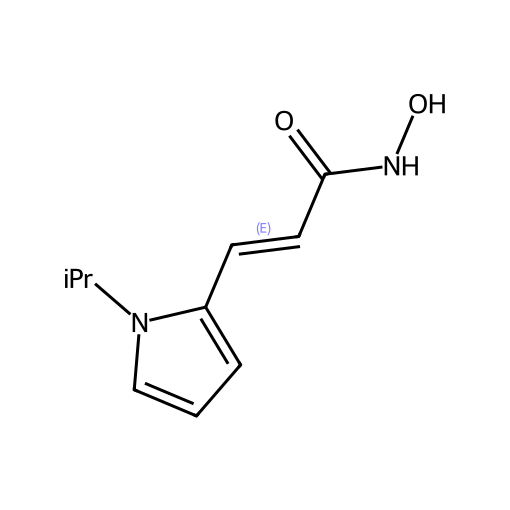 CC(C)n1cccc1/C=C/C(=O)NO